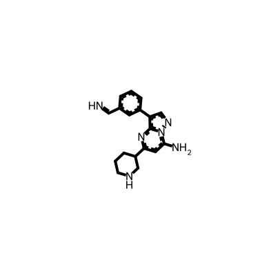 N=Cc1cccc(-c2cnn3c(N)cc(C4CCCNC4)nc23)c1